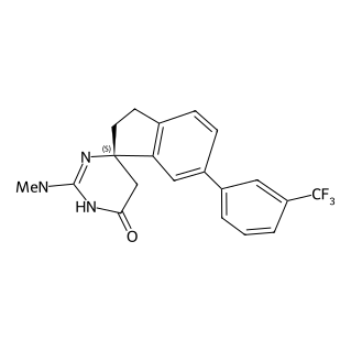 CNC1=N[C@@]2(CCc3ccc(-c4cccc(C(F)(F)F)c4)cc32)CC(=O)N1